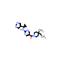 CCC1(C)CCN(C(=O)c2cnc(NC3(c4cncnc4)CC3)nc2)CC1